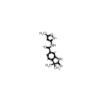 Cc1cc(NC(=O)c2ccc3c(c2)NC(=O)C3(C)C)no1